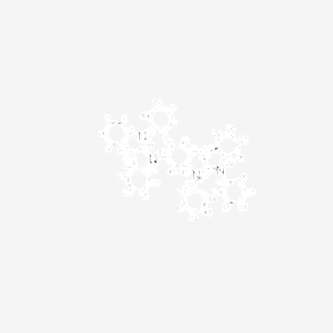 c1ccc(-n2c3ccccc3c3c4ccccc4n(-c4ccc5c6c7ccccc7n(-c7ccccc7)c6n(-c6ccccc6)c5c4)c32)cc1